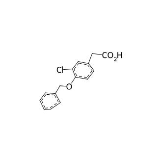 O=C(O)Cc1ccc(OCc2ccccc2)c(Cl)c1